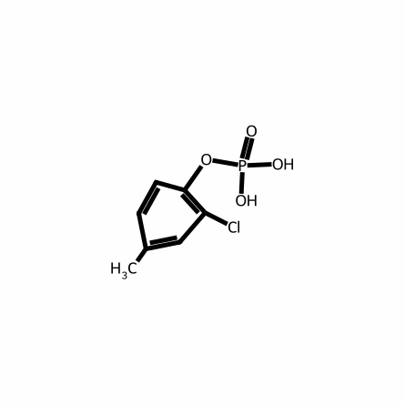 Cc1ccc(OP(=O)(O)O)c(Cl)c1